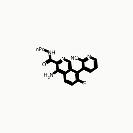 CCCNC(=O)c1ncc2c(-c3cccnc3C#N)c(F)ccc2c1N